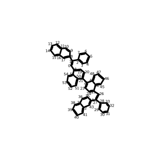 C(=C(c1ccccc1)c1ccc2ccccc2c1)c1ccc(-c2ccc(C=C(c3ccccc3)c3ccc4ccccc4c3)c3ccccc23)c2ccccc12